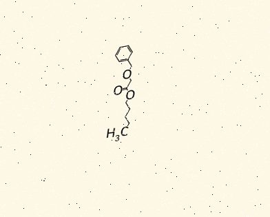 CCCCCOC(=O)COCc1ccccc1